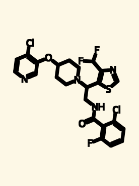 O=C(NCC(c1scnc1C(F)F)N1CCC(Oc2cnccc2Cl)CC1)c1c(F)cccc1Cl